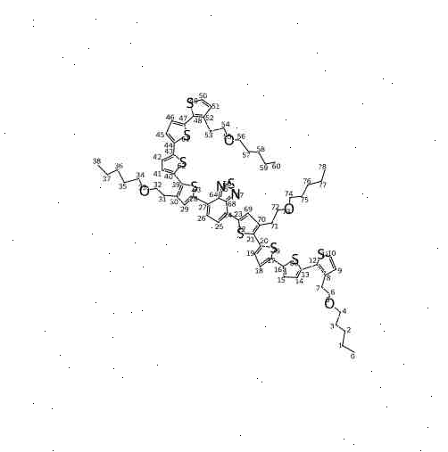 CCCCCOCCc1ccsc1-c1ccc(-c2ccc(-c3sc(-c4ccc(-c5cc(CCOCCCCC)c(-c6ccc(-c7ccc(-c8sccc8CCOCCCCC)s7)s6)s5)c5nsnc45)cc3CCOCCCCC)s2)s1